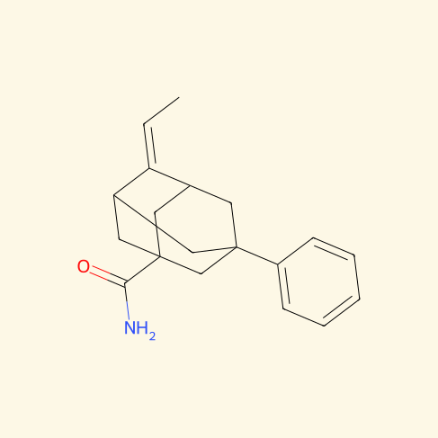 CC=C1C2CC3(C(N)=O)CC1CC(c1ccccc1)(C2)C3